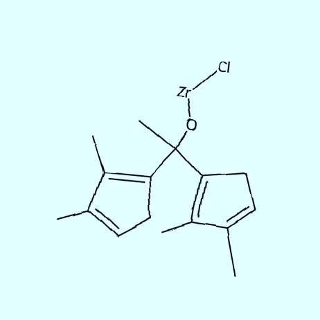 CC1=CCC(C(C)([O][Zr][Cl])C2=C(C)C(C)=CC2)=C1C